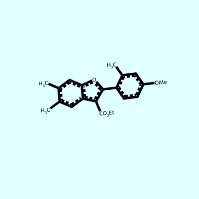 CCOC(=O)c1c(-c2ccc(OC)cc2C)oc2cc(C)c(C)cc12